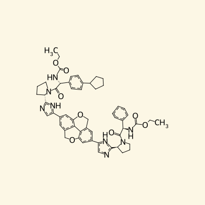 CCOC(=O)N[C@@H](C(=O)N1CCC[C@H]1c1ncc(-c2cc3c4c(c2)OCc2cc(-c5cnc([C@@H]6CCCN6C(=O)[C@H](NC(=O)OCC)c6ccc(C7CCCC7)cc6)[nH]5)cc(c2-4)OC3)[nH]1)c1ccccc1